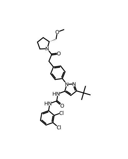 COC[C@H]1CCCN1C(=O)Cc1ccc(-n2nc(C(C)(C)C)cc2NC(=O)Nc2cccc(Cl)c2Cl)cc1